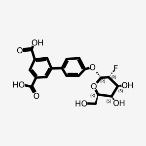 O=C(O)c1cc(C(=O)O)cc(-c2ccc(O[C@H]3O[C@H](CO)[C@@H](O)[C@H](O)[C@H]3F)cc2)c1